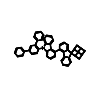 c1ccc(-c2ccc(-n3c4ccccc4c4c(-c5cccc6c5-c5ccccc5C65C6CC7CC8CC5C786)cccc43)c(-c3ccccc3)c2)cc1